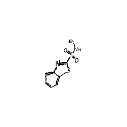 C[CH]NS(=O)(=O)c1nc2ccccc2s1